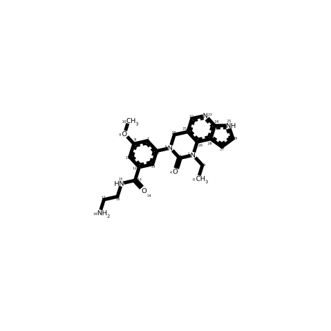 CCN1C(=O)N(c2cc(OC)cc(C(=O)NCCN)c2)Cc2cnc3[nH]ccc3c21